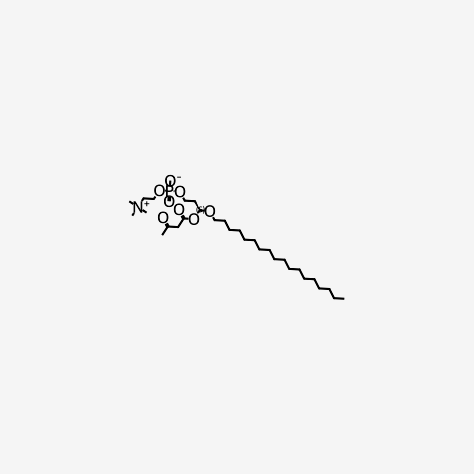 CCCCCCCCCCCCCCCCCCO[C@H](CCOP(=O)([O-])OCC[N+](C)(C)C)OC(=O)CC(C)=O